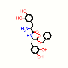 N[C@@H](Cc1ccc(O)c(O)c1)C(=O)N[C@@H](Cc1ccc(O)c(O)c1)C(=O)OCc1ccccc1